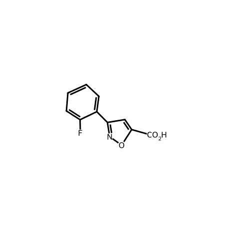 O=C(O)c1cc(-c2ccccc2F)no1